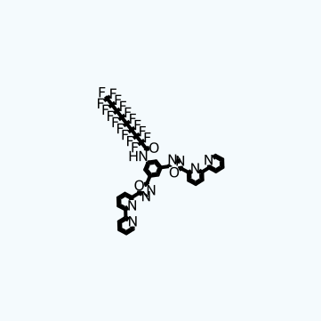 O=C(Nc1cc(-c2nnc(-c3cccc(-c4ccccn4)n3)o2)cc(-c2nnc(-c3cccc(-c4ccccn4)n3)o2)c1)C(F)(F)C(F)(F)C(F)(F)C(F)(F)C(F)(F)C(F)(F)C(F)(F)C(F)(F)F